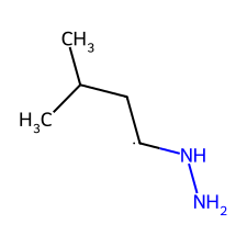 CC(C)C[CH]NN